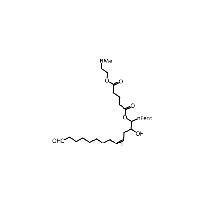 CCCCCC(OC(=O)CCCC(=O)OCCNC)C(O)C/C=C\CCCCCCCC=O